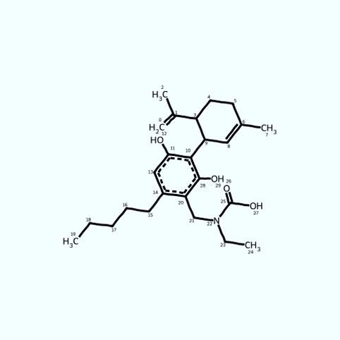 C=C(C)C1CCC(C)=CC1c1c(O)cc(CCCCC)c(CN(CC)C(=O)O)c1O